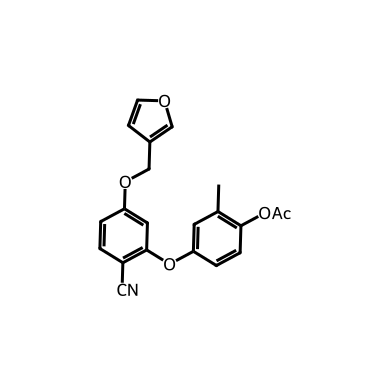 CC(=O)Oc1ccc(Oc2cc(OCc3ccoc3)ccc2C#N)cc1C